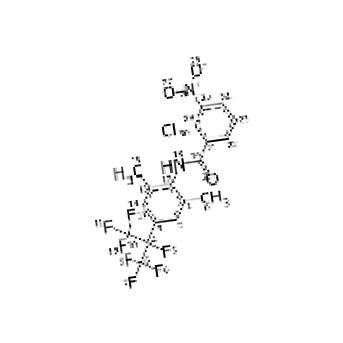 Cc1cc(C(F)(C(F)(F)F)C(F)(F)F)cc(C)c1NC(=O)c1cccc([N+](=O)[O-])c1Cl